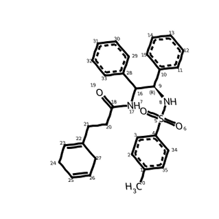 Cc1ccc(S(=O)(=O)N[C@H](c2ccccc2)C(NC(=O)CCC2=CCC=CC2)c2ccccc2)cc1